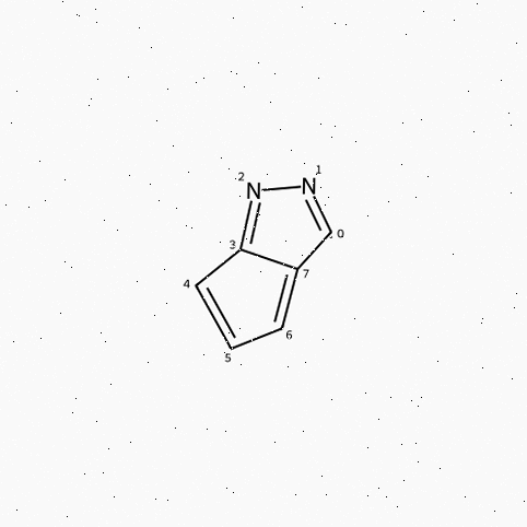 [C]1=NN=C2C=CC=C12